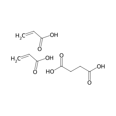 C=CC(=O)O.C=CC(=O)O.O=C(O)CCC(=O)O